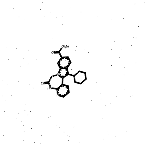 COC(=O)c1ccc2c(C3CCCCC3)c3n(c2c1)CC(=O)Nc1ncccc1-3